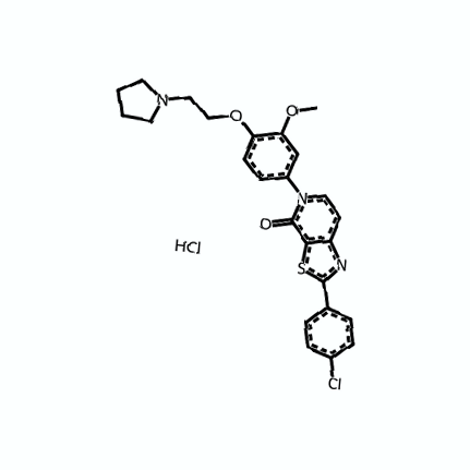 COc1cc(-n2ccc3nc(-c4ccc(Cl)cc4)sc3c2=O)ccc1OCCN1CCCC1.Cl